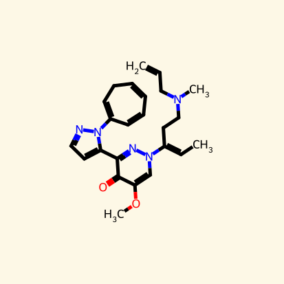 C=CCN(C)CC/C(=C\C)n1cc(OC)c(=O)c(-c2ccnn2C2=CCC=CC=C2)n1